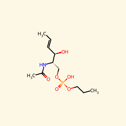 C/C=C/[C@@H](O)[C@H](COP(=O)(O)OCCC)NC(C)=O